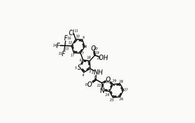 O=C(Nc1csc(-c2ccc(Cl)c(C(F)(F)F)c2)c1C(=O)O)c1nc2ccccc2o1